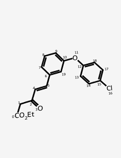 CCOC(=O)CC(=O)C=Cc1cccc(Oc2ccc(Cl)cc2)c1